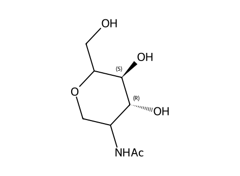 CC(=O)NC1COC(CO)[C@@H](O)[C@@H]1O